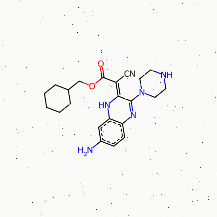 N#CC(C(=O)OCC1CCCCC1)=C1Nc2cc(N)ccc2N=C1N1CCNCC1